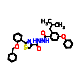 CC(C)Cc1cc(Oc2ccccc2)ccc1C(=O)NNC(=O)c1csc(-c2ccccc2OCc2ccccc2)n1